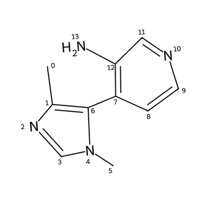 Cc1ncn(C)c1-c1ccncc1N